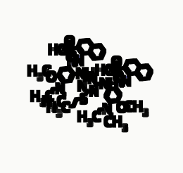 CCCSc1nc(Nc2cc(N(CC)CC)c(OC)cc2/N=N/c2c(S(=O)(=O)O)ccc3ccccc23)nc(Nc2cc(N(CC)CC)c(OC)cc2/N=N/c2c(S(=O)(=O)O)ccc3ccccc23)n1